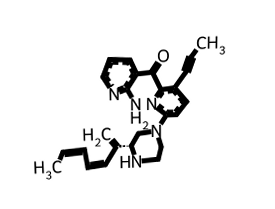 C=C(/C=C\C=C/C)[C@@H]1CN(c2ccc(C#CC)c(C(=O)c3cccnc3N)n2)CCN1